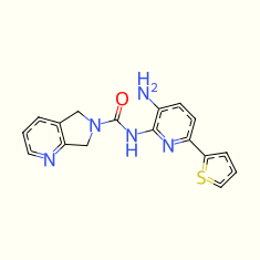 Nc1ccc(-c2cccs2)nc1NC(=O)N1Cc2cccnc2C1